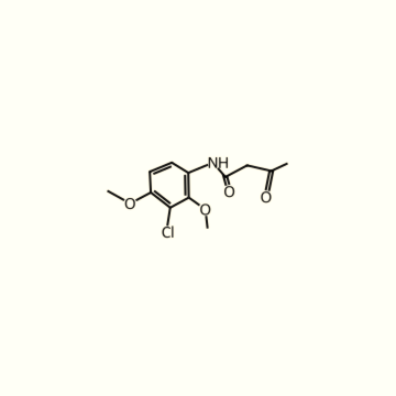 COc1ccc(NC(=O)CC(C)=O)c(OC)c1Cl